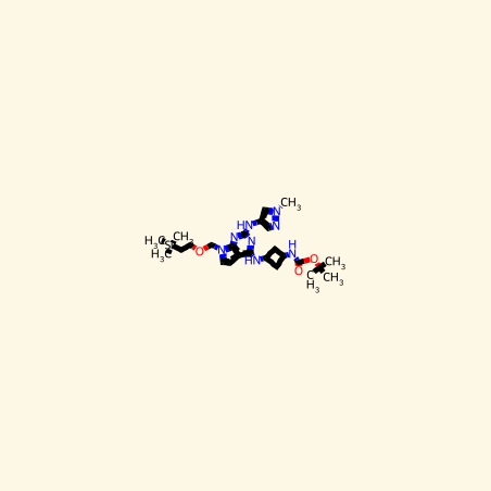 Cn1cc(Nc2nc(NC3CC(NC(=O)OC(C)(C)C)C3)c3ccn(COCC[Si](C)(C)C)c3n2)cn1